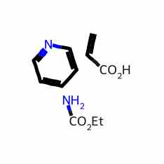 C=CC(=O)O.CCOC(N)=O.c1ccncc1